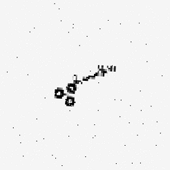 O=C(CS)NCCCCCNC(=O)c1ccc(N(c2ccccc2)c2ccccc2)cc1